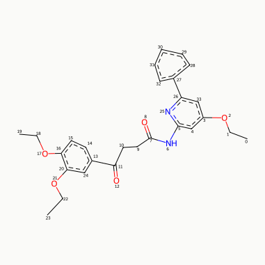 CCOc1cc(NC(=O)CCC(=O)c2ccc(OCC)c(OCC)c2)nc(-c2ccccc2)c1